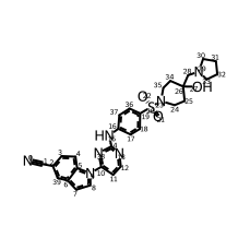 N#Cc1ccc2c(ccn2-c2ccnc(Nc3ccc(S(=O)(=O)N4CCC(O)(CN5CCCC5)CC4)cc3)n2)c1